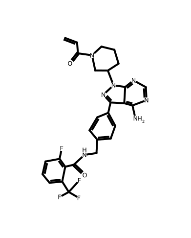 C=CC(=O)N1CCCC(n2nc(-c3ccc(CNC(=O)c4c(F)cccc4C(F)(F)F)cc3)c3c(N)ncnc32)C1